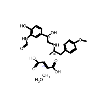 COc1ccc(C[C@@H](C)NC[C@H](O)c2ccc(O)c(NC=O)c2)cc1.O.O.O=C(O)/C=C/C(=O)O